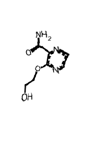 NC(=O)c1nccnc1OCCO